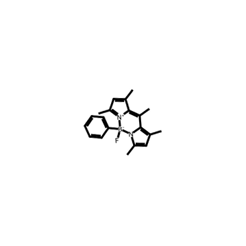 CC1=CC(C)=[N+]2C1=C(C)c1c(C)cc(C)n1[B-]2(F)c1ccccc1